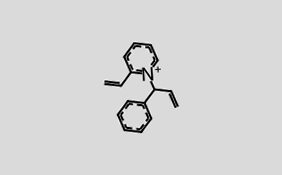 C=Cc1cccc[n+]1C(C=C)c1ccccc1